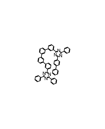 c1ccc(-c2ccc(-c3nc(-c4ccccc4)nc(-c4cccc(-c5cccc(-c6cccc(-c7cccc(-c8nc(-c9ccccc9)nc(-c9ccccc9)n8)c7)c6)c5)c4)n3)cc2)cc1